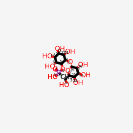 CP(=O)(O)OC1C(O)C(O)C(O)C(O)C1O[C@H]1O[C@H](CO)C(O)C(O)C1O